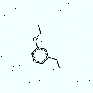 [CH2]Cc1cccc(OCC)c1